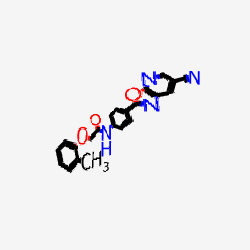 Cc1ccccc1OCC(=O)Nc1ccc(-c2nc3cc(C#N)cnc3o2)cc1